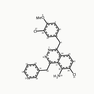 COc1ccc(Cc2nnc(Cc3cccnc3)c3c(N)c(Cl)ccc23)cc1Cl